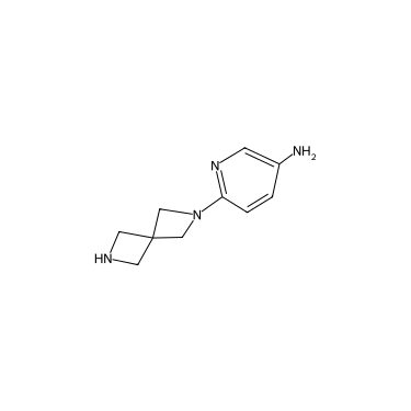 Nc1ccc(N2CC3(CNC3)C2)nc1